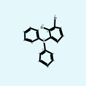 Brc1cccc(P(c2ccccc2)c2ccccc2)c1Br